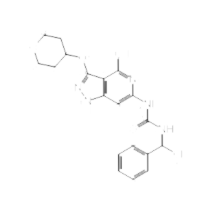 Cc1nc(NC(=O)NC(C)c2ccccc2)cc2[nH]nc(OC3CCOCC3)c12